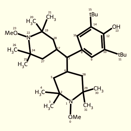 CON1C(C)(C)CC([C](c2cc(C(C)(C)C)c(O)c(C(C)(C)C)c2)C2CC(C)(C)N(OC)C(C)(C)C2)CC1(C)C